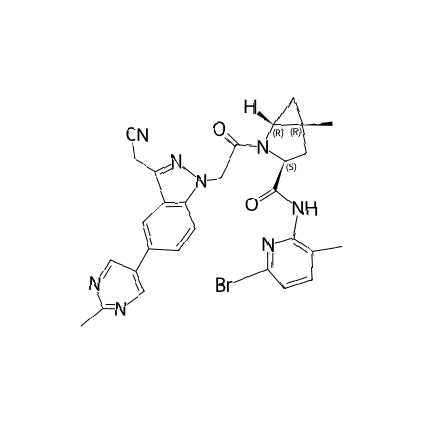 Cc1ncc(-c2ccc3c(c2)c(CC#N)nn3CC(=O)N2[C@H](C(=O)Nc3nc(Br)ccc3C)C[C@@]3(C)C[C@@H]23)cn1